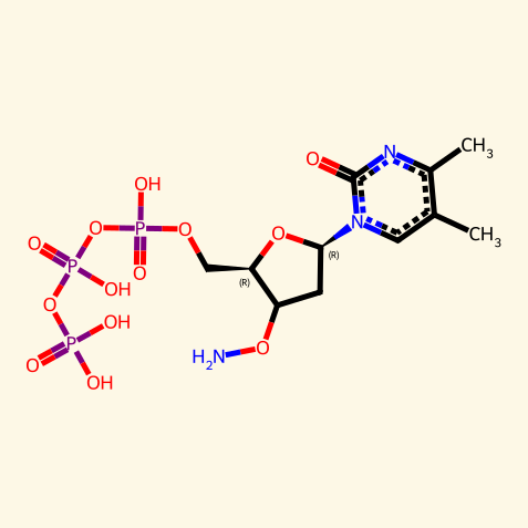 Cc1cn([C@H]2CC(ON)[C@@H](COP(=O)(O)OP(=O)(O)OP(=O)(O)O)O2)c(=O)nc1C